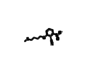 CSCCCCOc1cccc([N+](=O)[O-])c1C#N